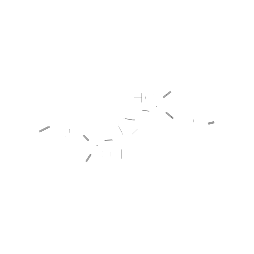 C#CCOCC#CC(O)(C#C)/C=C/c1ccc(/C=C/C(O)(C#C)C#CCOCC#C)cc1